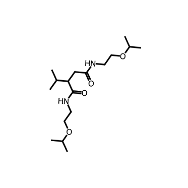 CC(C)OCCNC(=O)CC(C(=O)NCCOC(C)C)C(C)C